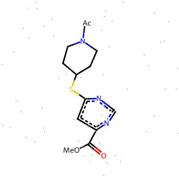 COC(=O)c1cc(SC2CCN(C(C)=O)CC2)ncn1